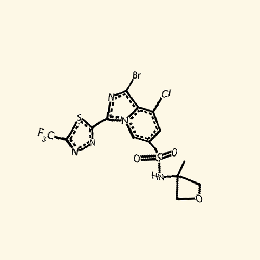 CC1(NS(=O)(=O)c2cc(Cl)c3c(Br)nc(-c4nnc(C(F)(F)F)s4)n3c2)COC1